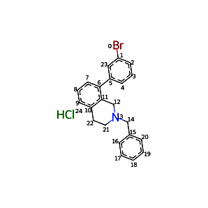 Brc1cccc(-c2cccc3c2CN(Cc2ccccc2)CC3)c1.Cl